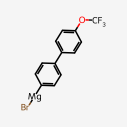 FC(F)(F)Oc1ccc(-c2cc[c]([Mg][Br])cc2)cc1